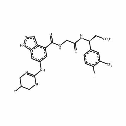 O=C(O)C[C@H](NC(=O)CNC(=O)c1cc(NC2=NCC(F)CN2)cc2[nH]ncc12)c1ccc(F)c(C(F)(F)F)c1